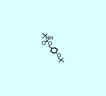 CC(C)(C)COc1ccc(COC(=O)NC(C)(C)C)cc1